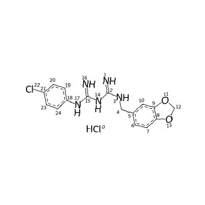 Cl.N=C(NCc1ccc2c(c1)OCO2)NC(=N)Nc1ccc(Cl)cc1